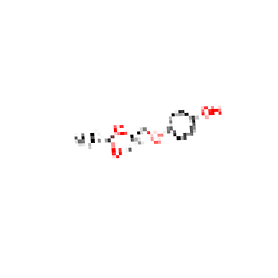 CC1OC[C@H](COc2ccc(O)cc2)O1